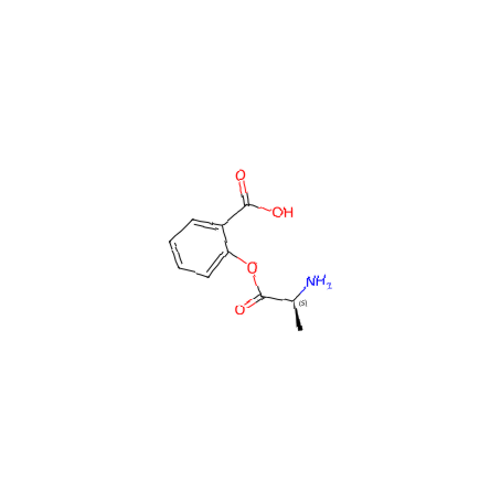 C[C@H](N)C(=O)Oc1ccccc1C(=O)O